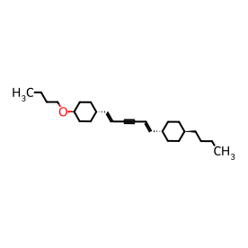 CCCCO[C@H]1CC[C@H](/C=C/C#C/C=C/[C@H]2CC[C@H](CCCC)CC2)CC1